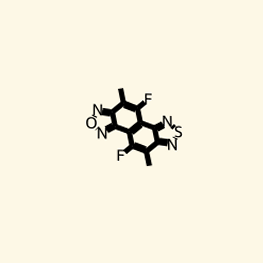 Cc1c(F)c2c3nonc3c(C)c(F)c2c2nsnc12